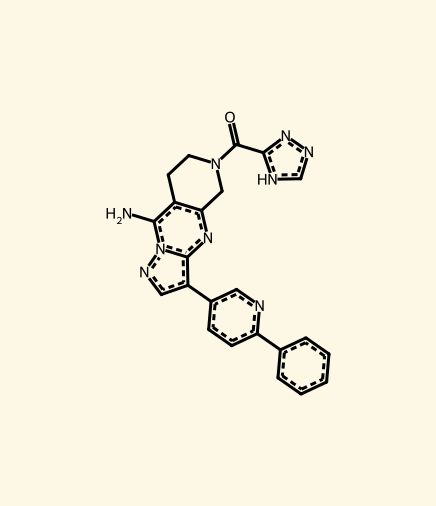 Nc1c2c(nc3c(-c4ccc(-c5ccccc5)nc4)cnn13)CN(C(=O)c1nnc[nH]1)CC2